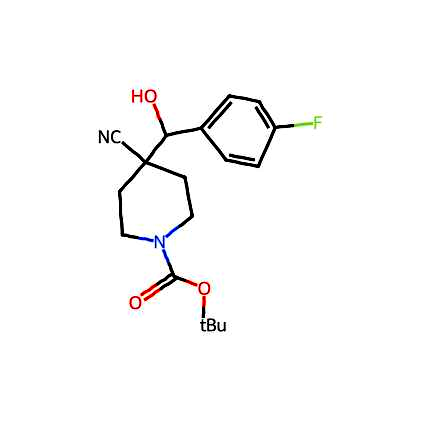 CC(C)(C)OC(=O)N1CCC(C#N)(C(O)c2ccc(F)cc2)CC1